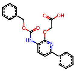 O=C(O)COc1nc(-c2ccccc2)ccc1NC(=O)OCc1ccccc1